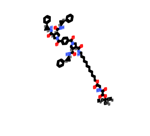 CC(C)(C)OC(=O)C(=O)NCC(=O)OCCCCCCCCCCCCNC(=O)[C@@H]1CN(C(=O)c2ccc(C(=O)N3C[C@@H](C(=O)N[C@H]4C[C@@H]4c4ccccc4)[C@H](C(=O)N[C@H]4C[C@@H]4c4ccccc4)C3)cc2)C[C@H]1C(=O)N[C@H]1C[C@@H]1c1ccccc1